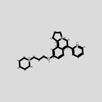 c1ccc(C2=c3ccc(OCCCN4CCCCC4)cc3=C3CCCN3C2)nc1